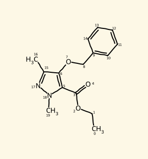 CCOC(=O)c1c(OCc2ccccc2)c(C)nn1C